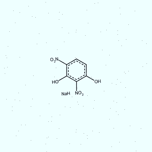 O=[N+]([O-])c1ccc(O)c([N+](=O)[O-])c1O.[NaH]